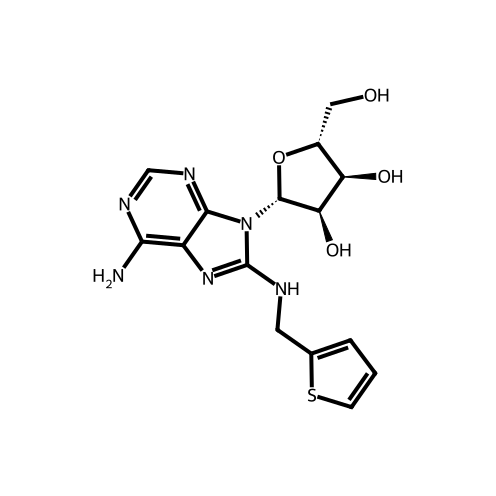 Nc1ncnc2c1nc(NCc1cccs1)n2[C@@H]1O[C@H](CO)[C@@H](O)[C@H]1O